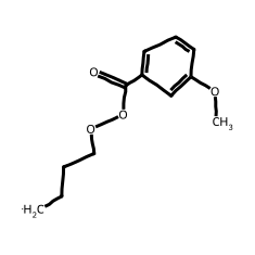 [CH2]CCCOOC(=O)c1cccc(OC)c1